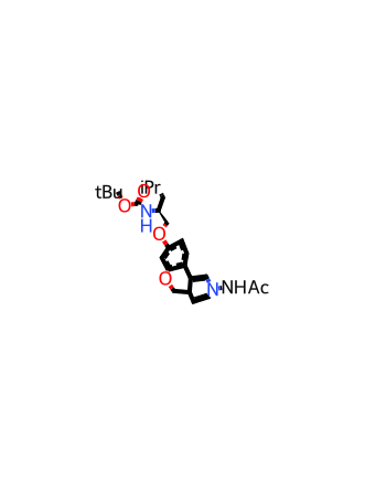 CC(=O)NN1C=CC2COc3cc(OC[C@H](CC(C)C)NC(=O)OC(C)(C)C)ccc3C2=C1